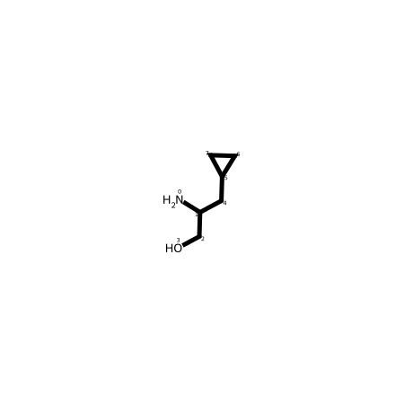 NC(CO)CC1CC1